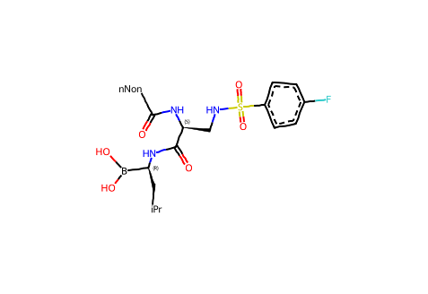 CCCCCCCCCC(=O)N[C@@H](CNS(=O)(=O)c1ccc(F)cc1)C(=O)N[C@@H](CC(C)C)B(O)O